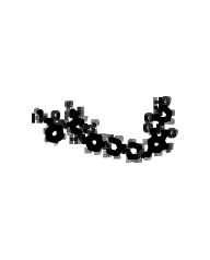 CNC(=O)c1ccccc1Nc1cc(Nc2ccc(N3CCC(N4CCN(Cc5cc(F)c6c(c5)C(=O)N(C5CCC(=O)NC5=O)C6=O)CC4)CC3)cc2OC)ncc1C(F)(F)F